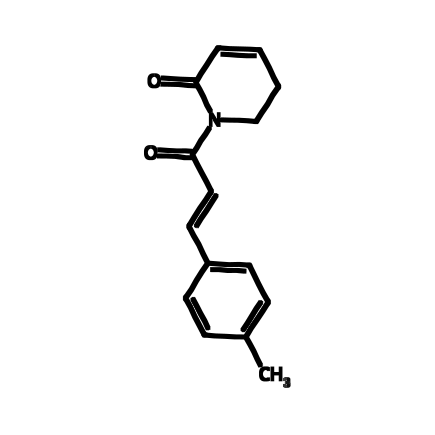 Cc1ccc(/C=C/C(=O)N2CCC=CC2=O)cc1